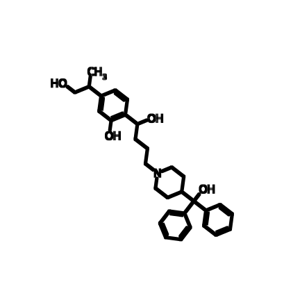 CC(CO)c1ccc(C(O)CCCN2CCC(C(O)(c3ccccc3)c3ccccc3)CC2)c(O)c1